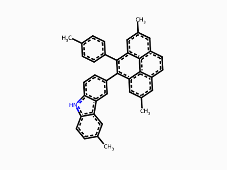 Cc1ccc(-c2c(-c3ccc4[nH]c5ccc(C)cc5c4c3)c3cc(C)cc4ccc5cc(C)cc2c5c43)cc1